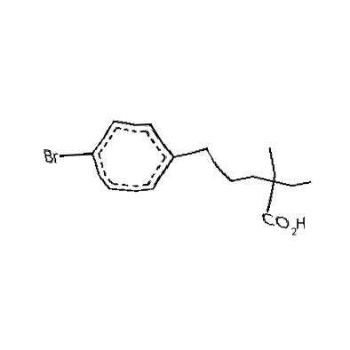 CC(C)(CCc1ccc(Br)cc1)C(=O)O